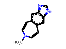 O=C(O)N1C=Cc2cc3nc[nH]c3cc2C=C1